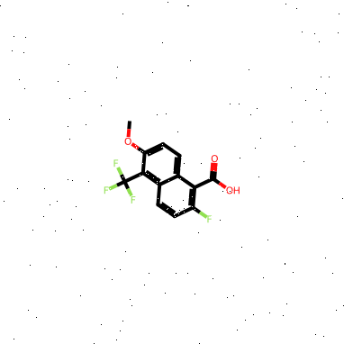 COc1ccc2c(C(=O)O)c(F)ccc2c1C(F)(F)F